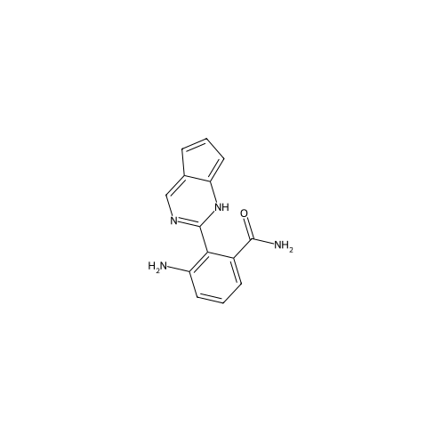 NC(=O)c1cccc(N)c1-c1ncc2cccc-2[nH]1